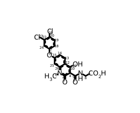 Cn1c(=O)c(C(=O)NCC(=O)O)c(O)c2ccc(Oc3ccc(Cl)c(Cl)c3)cc21